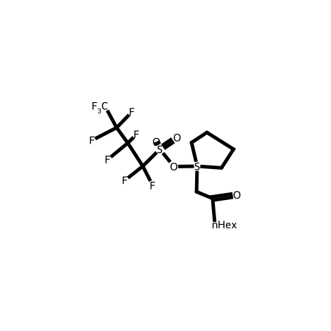 CCCCCCC(=O)CS1(OS(=O)(=O)C(F)(F)C(F)(F)C(F)(F)C(F)(F)F)CCCC1